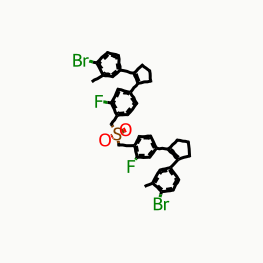 Cc1cc(C2=C(c3ccc(CS(=O)(=O)Cc4ccc(C5=C(c6ccc(Br)c(C)c6)CCC5)cc4F)c(F)c3)CCC2)ccc1Br